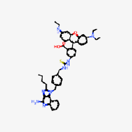 CCCCc1nc2c(N)nc3ccccc3c2n1Cc1ccc(CNC(=S)Nc2ccc(-c3c4cc/c(=N/CC)cc-4oc4cc(N(CC)CC)ccc34)c(C(=O)O)c2)cc1